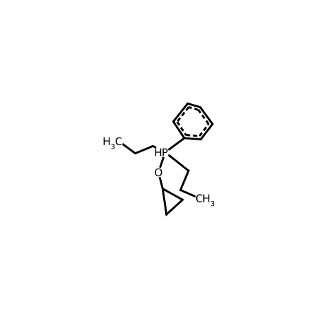 CCC[PH](CCC)(OC1CC1)c1ccccc1